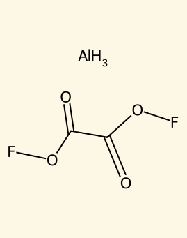 O=C(OF)C(=O)OF.[AlH3]